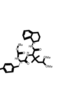 COC(CC(C)(C)C(NC(=O)[C@H](Cc1ccc(O)cc1)NC(=O)OC(C)(C)C)C(=O)N[C@@H]1CCCc2ccccc21)OC